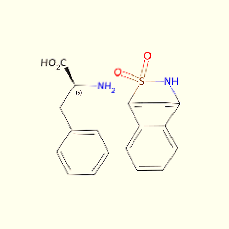 N[C@@H](Cc1ccccc1)C(=O)O.O=S1(=O)Nc2ccc1c1ccccc21